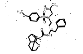 COc1ccc(S(=O)(=O)N(CC[C@H](Cc2ccccc2)NC(=O)OC2C3COC4OC2CC4C3)CC(C)C)cc1